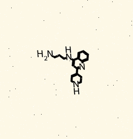 NCCCNc1cc(C2=CCNCC2)nc2ccccc12